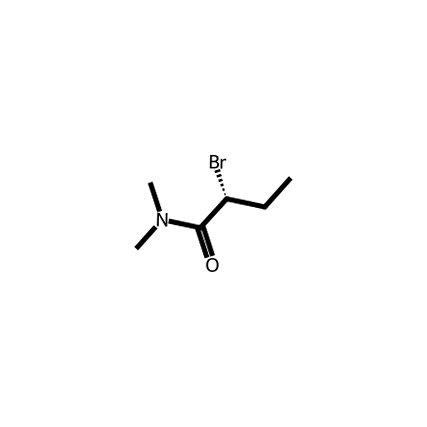 CC[C@@H](Br)C(=O)N(C)C